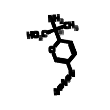 C[C@](N)(C(=O)O)C1C=CC(N=[N+]=[N-])=CO1